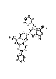 CC(=O)c1ccc(-c2cc(OC3CCOCC3)c3c(N)n[nH]c3c2)cc1N1CCN(c2ncccn2)CC1